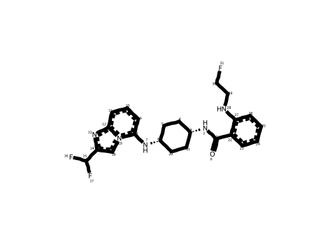 O=C(N[C@H]1CC[C@@H](Nc2cccc3nc(C(F)F)cn23)CC1)c1ccccc1NCCF